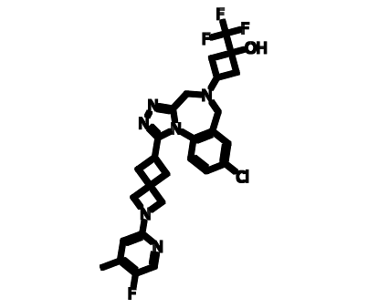 Cc1cc(N2CC3(CC(c4nnc5n4-c4ccc(Cl)cc4CN(C4CC(O)(C(F)(F)F)C4)C5)C3)C2)ncc1F